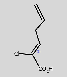 C=CC/C=C(\Cl)C(=O)O